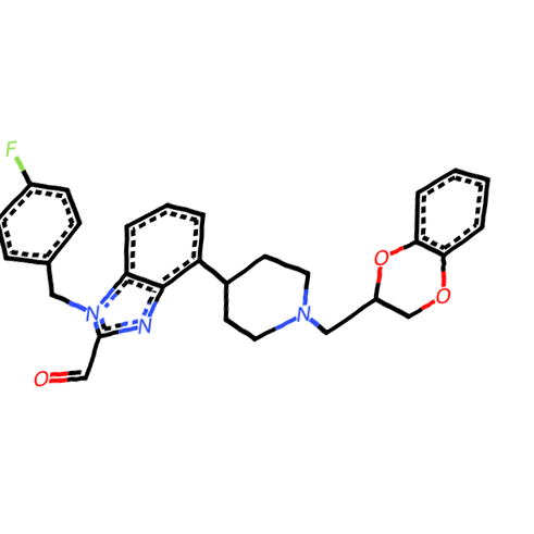 O=Cc1nc2c(C3CCN(CC4COc5ccccc5O4)CC3)cccc2n1Cc1ccc(F)cc1